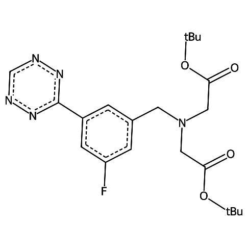 CC(C)(C)OC(=O)CN(CC(=O)OC(C)(C)C)Cc1cc(F)cc(-c2nncnn2)c1